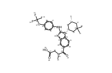 C[C@H]1C[C@@H](n2c(Nc3ccc(OC(F)(F)F)cc3)nc3cc(C(=O)N(C)CC(=O)O)ccc32)CC(C)(C)C1